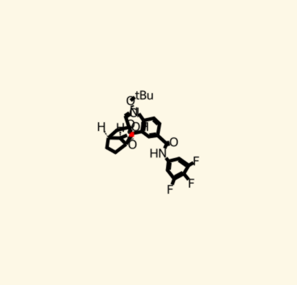 CC(C)(C)O/N=C/[C@]1(O)CC2CC[C@@H](C1)[C@H]2S(=O)(=O)c1cc(C(=O)Nc2cc(F)c(F)c(F)c2)ccc1Cl